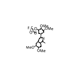 COc1cc2cc(-c3cc(OC)c(OC)c(OS(=O)(=O)C(F)(F)F)c3)nc(C)c2cc1OC